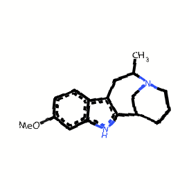 COc1ccc2c3c([nH]c2c1)C1CCCN(C1)C(C)C3